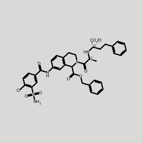 CCOC(=O)[C@H](CCc1ccccc1)N[C@@H](C)C(=O)N1CCc2ccc(NC(=O)c3ccc(Cl)c(S(N)(=O)=O)c3)cc2C1C(=O)OCc1ccccc1